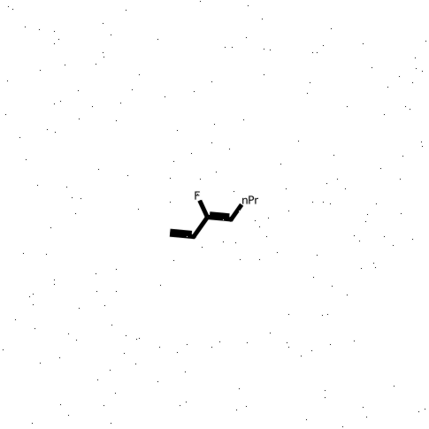 C=CC(F)=CCCC